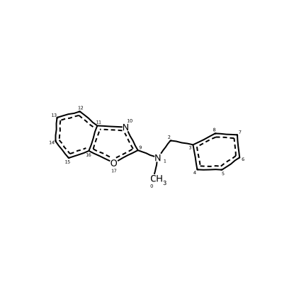 CN(Cc1ccccc1)c1nc2ccccc2o1